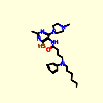 CCCCCCN(CCCC(=O)Nc1c(S)nc(C)nc1N1CCN(C)CC1)c1ccccc1